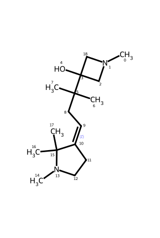 CN1CC(O)(C(C)(C)C/C=C2/CCN(C)C2(C)C)C1